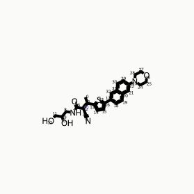 C/C(=C(/C#N)C(=O)NCC(O)CO)c1ccc(-c2ccc3cc(N4CCOCC4)ccc3c2)s1